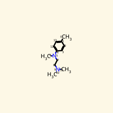 Cc1ccc(N(C)CCN(C)C)cc1